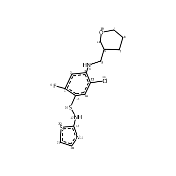 Fc1cc(NCC2CCCOC2)c(Cl)cc1SNc1nccs1